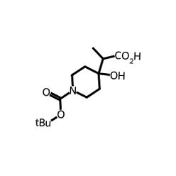 CC(C(=O)O)C1(O)CCN(C(=O)OC(C)(C)C)CC1